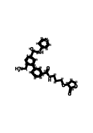 NCc1ccc(C(=O)Nc2ccncc2)cc1-c1cccc(C(=O)NCCCOC2CCOC2=O)c1